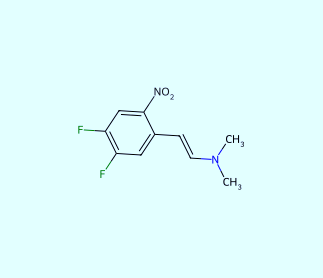 CN(C)C=Cc1cc(F)c(F)cc1[N+](=O)[O-]